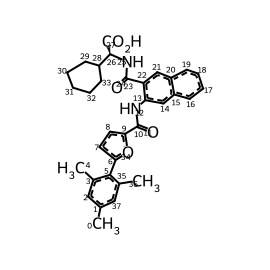 Cc1cc(C)c(-c2ccc(C(=O)Nc3cc4ccccc4cc3C(=O)N[C@H](C(=O)O)C3CCCCC3)o2)c(C)c1